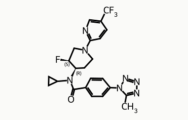 Cc1nnnn1-c1ccc(C(=O)N(C2CC2)[C@@H]2CCN(c3ccc(C(F)(F)F)cn3)C[C@@H]2F)cc1